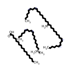 CCCCC/C=C\C/C=C\CCCCCCCCC(N)CCCCCCCC/C=C\C/C=C\CCCCC.CCCCC/C=C\C/C=C\CCCCCCCCN(C)C.CCCCCCCCCCCCCCCCCC(=O)O